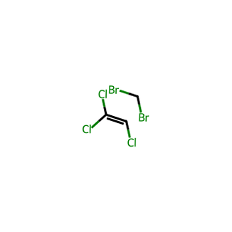 BrCBr.ClC=C(Cl)Cl